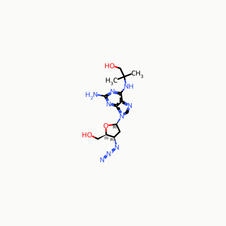 CC(C)(CO)Nc1nc(N)nc2c1ncn2[C@H]1C[C@@H](N=[N+]=[N-])[C@@H](CO)O1